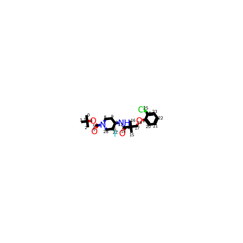 CC(C)(C)OC(=O)N1CCC(NC(=O)C(C)(C)COc2ccccc2Cl)[C@@H](F)C1